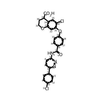 O=C(Nc1ccc(-c2ccc(Cl)cc2)nn1)c1ccc(Oc2cc3c(cc2Cl)C(C(=O)O)CCO3)cc1